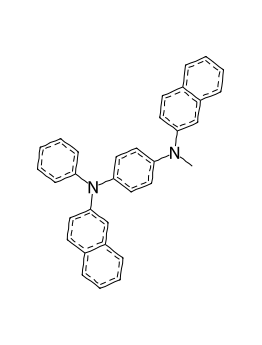 CN(c1ccc(N(c2ccccc2)c2ccc3ccccc3c2)cc1)c1ccc2ccccc2c1